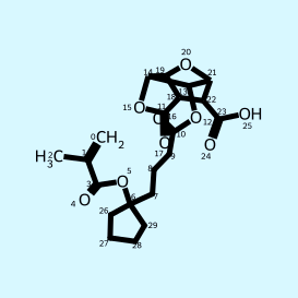 C=C(C)C(=O)OC1(CCCC(=O)OC2C3OC(=O)C4C3OC2C4C(=O)O)CCCC1